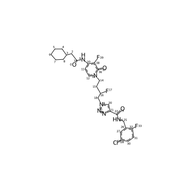 O=C(CC1CCCCC1)Nc1ccn(CCC(F)Cn2cc(C(=O)NCc3cc(Cl)ccc3F)nn2)c(=O)c1F